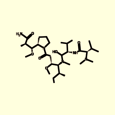 CC[C@H](C)[C@@H]([C@@H](CC(=O)N1CCC[C@H]1[C@H](OC)[C@@H](C)C(N)=O)OC)N(C)C(O)[C@@H](NC(=O)[C@H](C(C)C)N(C)C)C(C)C